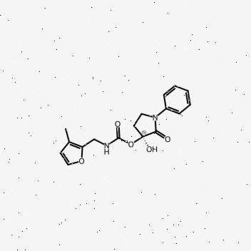 Cc1ccoc1CNC(=O)O[C@@]1(O)CCN(c2ccccc2)C1=O